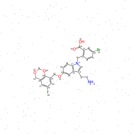 NCCc1cn(Cc2ccc(Br)cc2C(=O)O)c2ccc(OCc3cc(F)cc4c3OCOC4)cc12